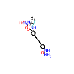 CC(N)(C(F)F)[C@H](NC(=O)c1ccc(C#CC#Cc2ccc(NC(N)=O)cc2)cc1)C(=O)NO